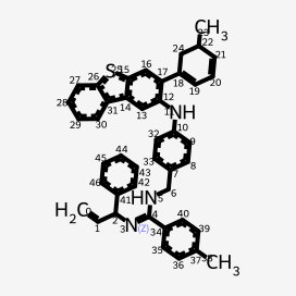 C=CC(/N=C(\NCc1ccc(Nc2cc3c(cc2C2=CC=CC(C)C2)sc2ccccc23)cc1)c1ccc(C)cc1)c1ccccc1